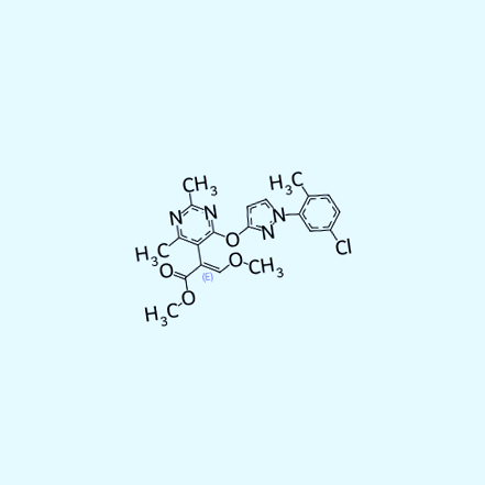 CO/C=C(/C(=O)OC)c1c(C)nc(C)nc1Oc1ccn(-c2cc(Cl)ccc2C)n1